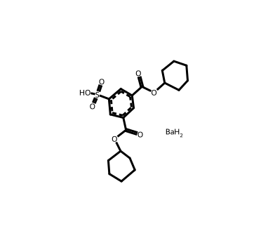 O=C(OC1CCCCC1)c1cc(C(=O)OC2CCCCC2)cc(S(=O)(=O)O)c1.[BaH2]